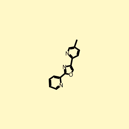 Cc1ccc(-c2coc(-c3ccccn3)n2)nc1